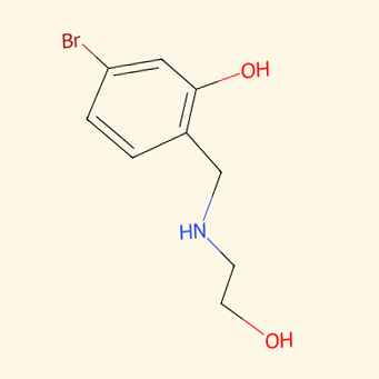 OCCNCc1ccc(Br)cc1O